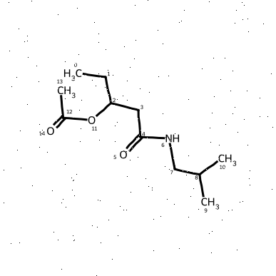 CCC(CC(=O)NCC(C)C)OC(C)=O